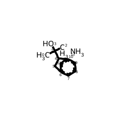 CC(C)(O)C1Cc2cccc1c2.N